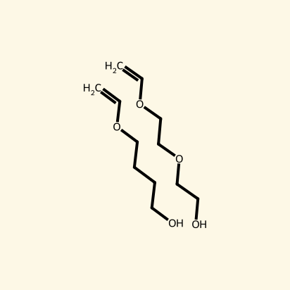 C=COCCCCO.C=COCCOCCO